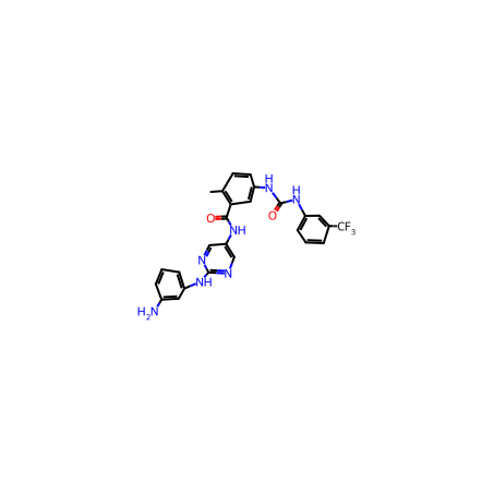 Cc1ccc(NC(=O)Nc2cccc(C(F)(F)F)c2)cc1C(=O)Nc1cnc(Nc2cccc(N)c2)nc1